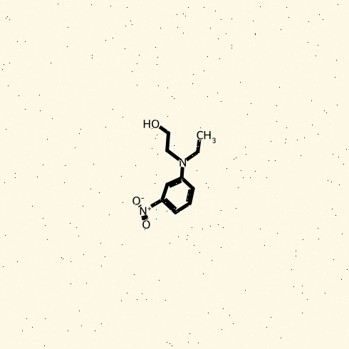 CCN(CCO)c1cccc([N+](=O)[O-])c1